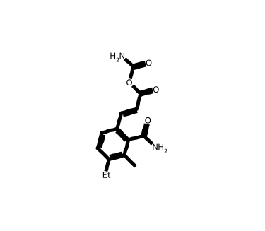 CCc1ccc(C=CC(=O)OC(N)=O)c(C(N)=O)c1C